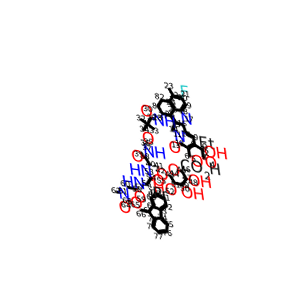 CC[C@@]1(O)C(=O)OCc2c1cc1n(c2=O)Cc2c-1nc1cc(F)c(C)c3c1c2[C@@H](NC(=O)C(C)(C)COCNC(=O)[C@H](CO[C@@H]1O[C@H](C(=O)O)[C@@H](O)[C@H](O)[C@H]1O)NC(=O)[C@@H](NC(=O)CN(C)C(=O)OCC1c2ccccc2-c2ccccc21)C(C)C)CC3